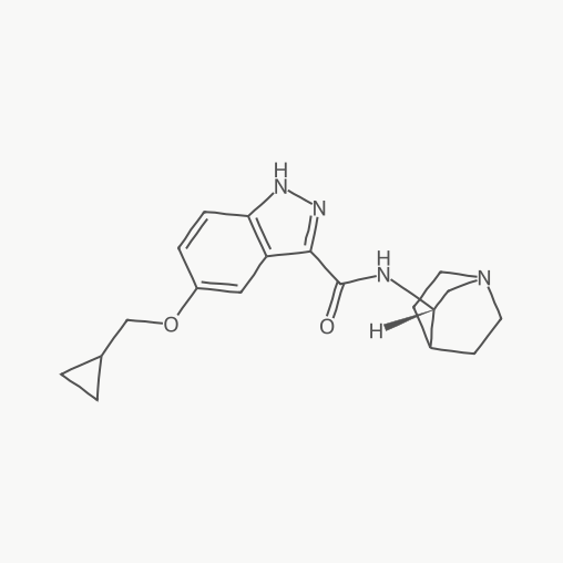 O=C(N[C@@H]1CN2CCC1CC2)c1n[nH]c2ccc(OCC3CC3)cc12